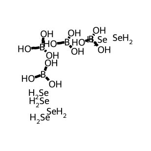 OB(O)O.OB(O)O.OB(O)O.OB(O)O.[SeH2].[SeH2].[SeH2].[SeH2].[SeH2].[SeH2]